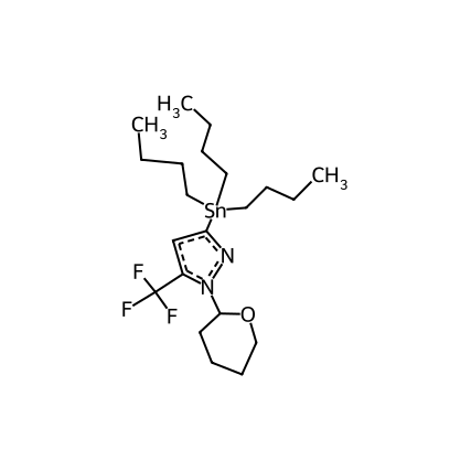 CCC[CH2][Sn]([CH2]CCC)([CH2]CCC)[c]1cc(C(F)(F)F)n(C2CCCCO2)n1